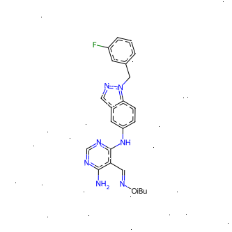 CC(C)CON=Cc1c(N)ncnc1Nc1ccc2c(cnn2Cc2cccc(F)c2)c1